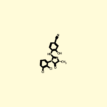 C[C@H]1N=C(Nc2ccc(C#N)cc2O)N(c2cccc(Cl)c2Cl)C1=O